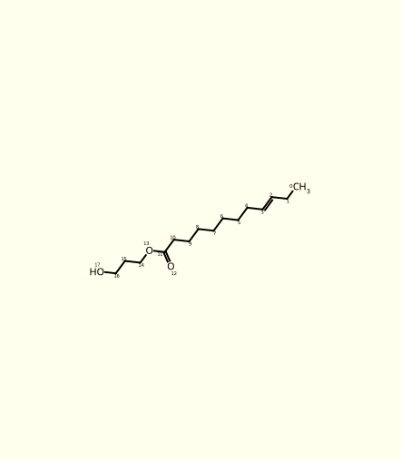 CCC=CCCCCCCCC(=O)OCCCO